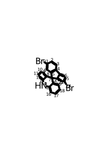 Brc1ccc2c(c1)C1(c3ccccc3Nc3ccccc31)c1cc(Br)ccc1-2